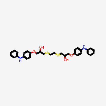 OC(COc1ccc(Nc2ccccc2)cc1)CSCCSCC(O)COc1ccc(Nc2ccccc2)cc1